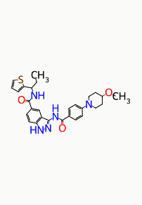 CCC(NC(=O)c1ccc2[nH]nc(NC(=O)c3ccc(N4CCC(OC)CC4)cc3)c2c1)c1cccs1